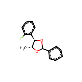 [CH2][C@H]1OC(c2ccccc2)O[C@@H]1c1ccccc1F